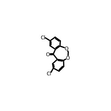 O=C1c2cc(Cl)ccc2OCOc2ccc(Cl)cc21